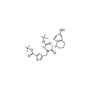 C[C@H](C(=O)OC(C)(C)C)N(Cc1csc(C(=O)OC(C)(C)C)c1)C(=O)C[C@H]1CCCc2cc(O)ccc21